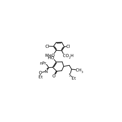 CCCC(=NOCC)C1=C(O)CC(CC(C)SCC)CC1=O.COc1c(Cl)ccc(Cl)c1C(=O)O